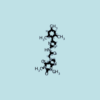 Cc1cc(C)c(-c2csc(NC(=O)Cn3cnc4c3c(=O)n(C)c(=O)n4C)n2)c(C)c1